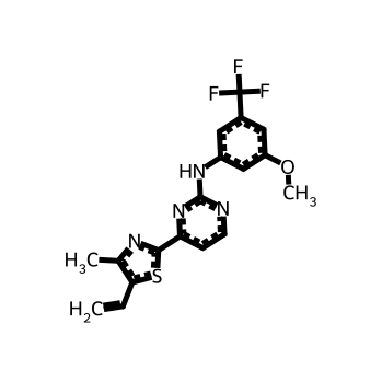 C=Cc1sc(-c2ccnc(Nc3cc(OC)cc(C(F)(F)F)c3)n2)nc1C